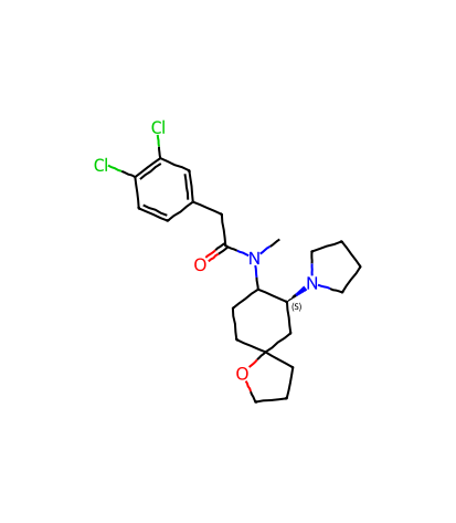 CN(C(=O)Cc1ccc(Cl)c(Cl)c1)C1CCC2(CCCO2)C[C@@H]1N1CCCC1